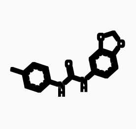 Cc1ccc(NC(=O)Nc2ccc3c(c2)OCO3)cc1